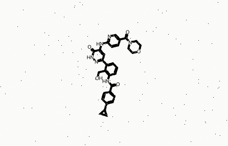 O=C(Nc1cccc(-c2cc(Nc3ccc(C(=O)N4CCOCC4)cn3)c(=O)[nH]n2)c1CO)c1ccc(C2CC2)cc1